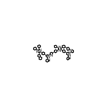 c1ccc(-c2cccc(-c3nc(-c4ccccc4)c(-c4ccc(-c5ccc(-c6cc(-c7ccc(-c8nc(-c9ccccc9)c(-c9ccccc9)nc8-c8ccc9ccccc9c8)cc7)cc(-c7ccccn7)n6)nc5)cc4)nc3-c3ccc(-c4cc(-c5ccccn5)nc(-c5ccccn5)c4)cc3)c2)cc1